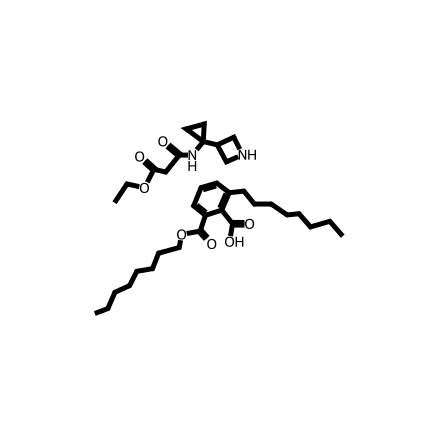 CCCCCCCCOC(=O)c1cccc(CCCCCCCC)c1C(=O)O.CCOC(=O)CC(=O)NC1(C2CNC2)CC1